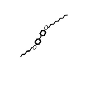 CC=CC=CCOc1ccc(-c2ccc(OCCCCCCCCC)cc2)cc1